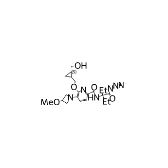 CCC(CC)(NC(=O)c1ccc(N2CC(OC)C2)c(OCC2C[C@@H]2CO)n1)C(=O)N=[N+]=[N-]